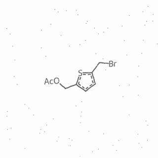 CC(=O)OCc1ccc(CBr)s1